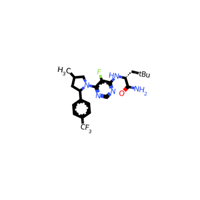 CC1CC(c2ccc(C(F)(F)F)cc2)N(c2ncnc(N[C@H](CC(C)(C)C)C(N)=O)c2F)C1